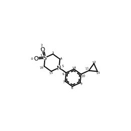 O=S1(=O)CCN(c2cccc(C3CC3)c2)CC1